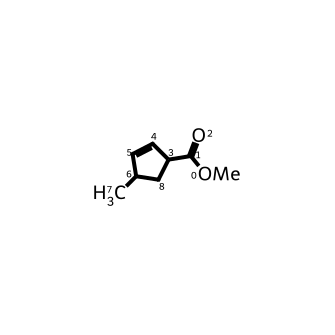 COC(=O)C1C=CC(C)C1